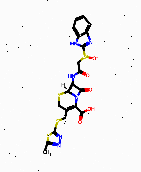 Cc1nnc(SCC2=C(C(=O)O)N3C(=O)C(NC(=O)C[S+]([O-])c4nc5ccccc5[nH]4)[C@@H]3SC2)s1